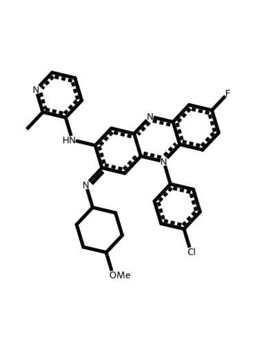 COC1CCC(/N=c2\cc3n(-c4ccc(Cl)cc4)c4ccc(F)cc4nc-3cc2Nc2cccnc2C)CC1